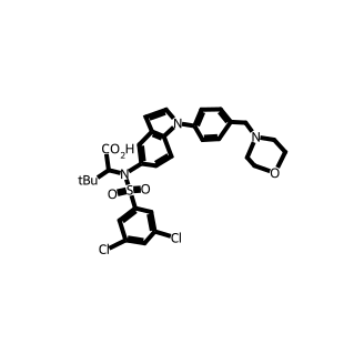 CC(C)(C)C(C(=O)O)N(c1ccc2c(ccn2-c2ccc(CN3CCOCC3)cc2)c1)S(=O)(=O)c1cc(Cl)cc(Cl)c1